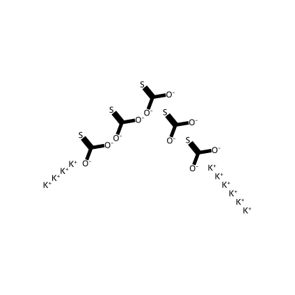 [K+].[K+].[K+].[K+].[K+].[K+].[K+].[K+].[K+].[K+].[O-]C([O-])=S.[O-]C([O-])=S.[O-]C([O-])=S.[O-]C([O-])=S.[O-]C([O-])=S